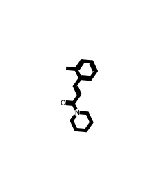 Cc1ccccc1/C=C/C(=O)N1CCCCC1